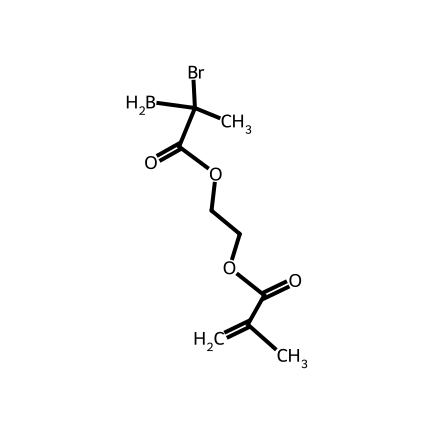 BC(C)(Br)C(=O)OCCOC(=O)C(=C)C